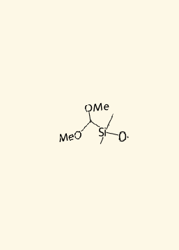 COC(OC)[Si](C)(C)[O]